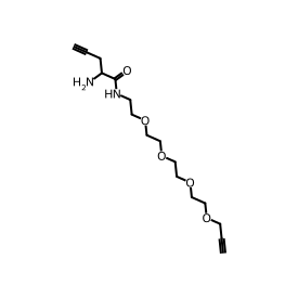 C#CCOCCOCCOCCOCCNC(=O)C(N)CC#C